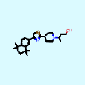 CC(CCO)N1CCC(c2nc(-c3ccc4c(c3)C(C)(C)CCC4(C)C)cs2)CC1